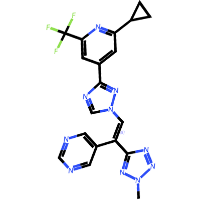 Cn1nnc(/C(=C/n2cnc(-c3cc(C4CC4)nc(C(F)(F)F)c3)n2)c2cncnc2)n1